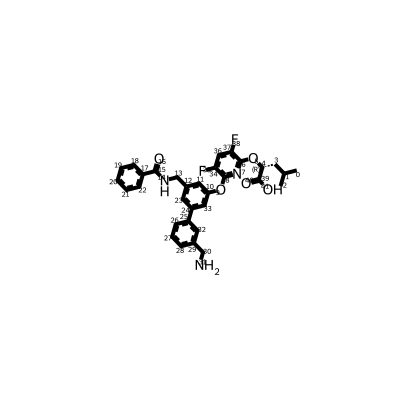 CC(C)C[C@@H](Oc1nc(Oc2cc(CNC(=O)c3ccccc3)cc(-c3cccc(CN)c3)c2)c(F)cc1F)C(=O)O